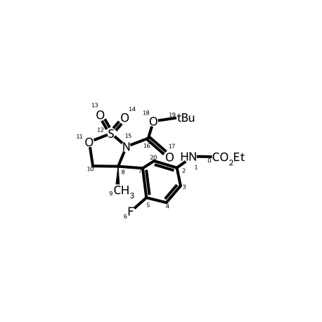 CCOC(=O)Nc1ccc(F)c([C@]2(C)COS(=O)(=O)N2C(=O)OC(C)(C)C)c1